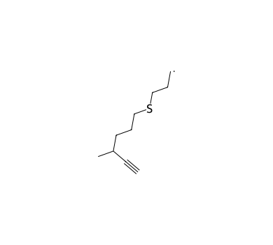 C#CC(C)CCCSCC[CH2]